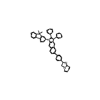 CC1(C)c2ccccc2-c2ccc(-n3c(-c4ccccc4)c(-c4ccccc4)c4cc5cc(-c6ccc(C7CN8C=CC=CC8=N7)cc6)ccc5cc43)cc21